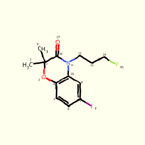 CC1(C)Oc2ccc(I)cc2N(CCCF)C1=O